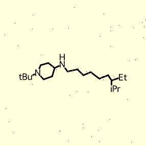 CCC(CCCCCCNC1CCN(C(C)(C)C)CC1)C(C)C